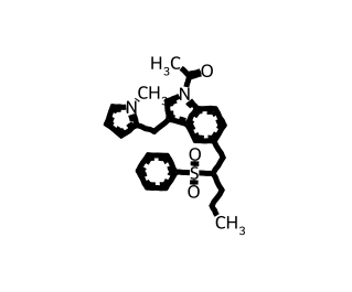 CCCC(Cc1ccc2c(c1)c(Cc1cccn1C)cn2C(C)=O)S(=O)(=O)c1ccccc1